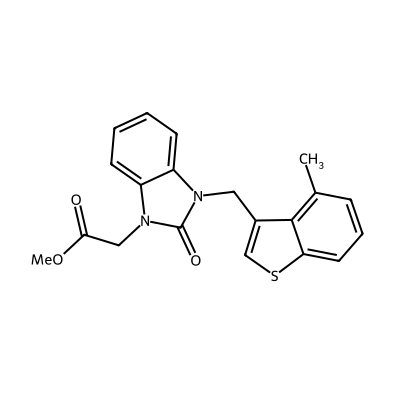 COC(=O)Cn1c(=O)n(Cc2csc3cccc(C)c23)c2ccccc21